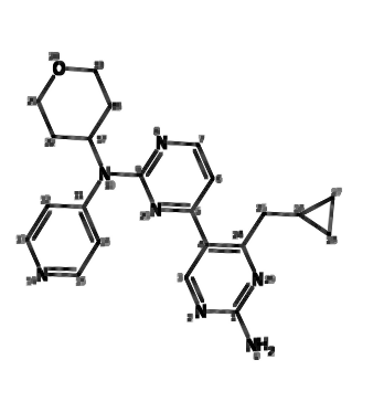 Nc1ncc(-c2ccnc(N(c3ccncc3)C3CCOCC3)n2)c(CC2CC2)n1